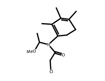 COC(C)N(C(=O)CCl)C1=C(C)C(C)=C(C)CC1